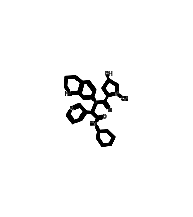 N#CN1C[C@H](O)C[C@@H]1C(=O)N(c1ccc2c(c1)NCCC2)C(C(=O)NC1CCCCC1)c1cccnc1